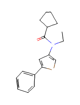 CCN(C(=O)C1CCCC1)c1csc(-c2ccccc2)c1